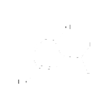 Cc1ccc(Cl)c(C(F)F)c1